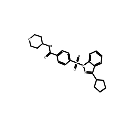 O=C(NC1CCOCC1)c1ccc(S(=O)(=O)n2nc(C3CCCC3)c3ccccc32)cc1